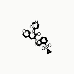 O=C(Nc1ccncn1)C(CC1CCOCC1)n1ncc2c(S(=O)(=O)C3CC3)cccc21